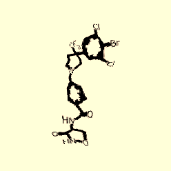 O=C(NC1CONC1=O)c1ccc(N2CCC(c3cc(Cl)c(Br)c(Cl)c3)(C(F)(F)F)C2)cc1